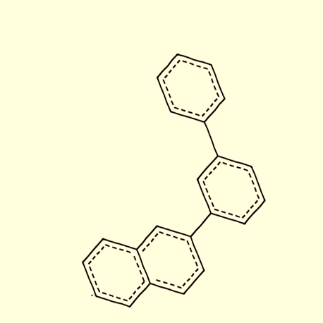 [c]1ccc2cc(-c3cccc(-c4ccccc4)c3)ccc2c1